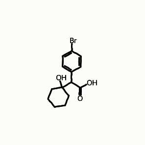 O=C(O)C(c1ccc(Br)cc1)C1(O)CCCCC1